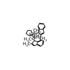 CC1=Cc2ccccc2[CH]1[Zr]([CH3])([CH3])[Si]1([Zr]([CH3])([CH3])[CH]2C(C)=Cc3ccccc32)CCCC1